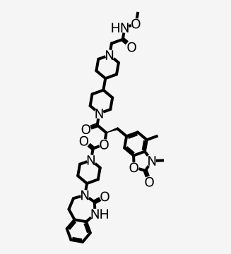 CONC(=O)CN1CCC(C2CCN(C(=O)[C@@H](Cc3cc(C)c4c(c3)oc(=O)n4C)OC(=O)N3CCC(N4CCc5ccccc5NC4=O)CC3)CC2)CC1